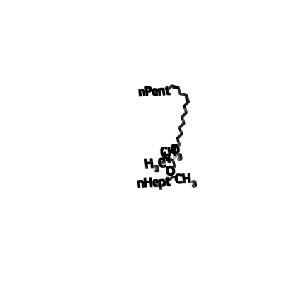 CCCCC/C=C\C/C=C\CCCCCCCCOC[C@H](COC(C)CCCCCCC)N(C)C